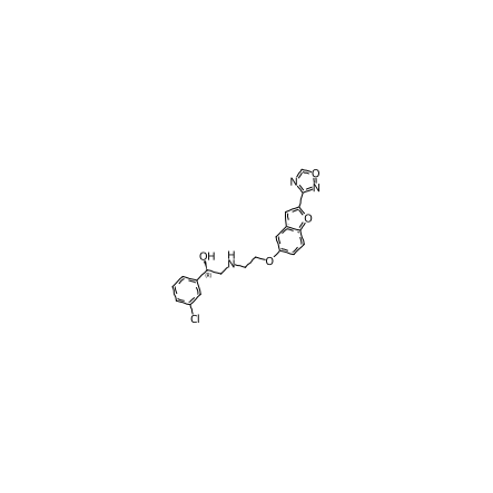 O[C@@H](CNCCOc1ccc2oc(-c3ncon3)cc2c1)c1cccc(Cl)c1